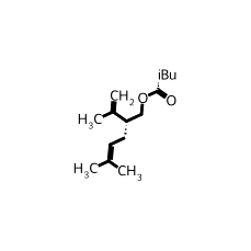 C=C(C)[C@@H](CC=C(C)C)COC(=O)[C@@H](C)CC